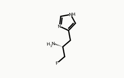 N[C@@H](CF)Cc1c[nH]cn1